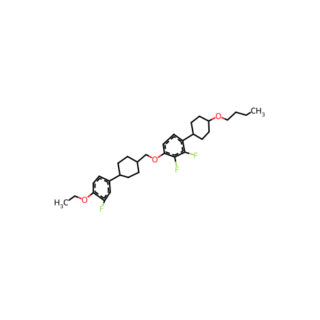 CCCCOC1CCC(c2ccc(OCC3CCC(c4ccc(OCC)c(F)c4)CC3)c(F)c2F)CC1